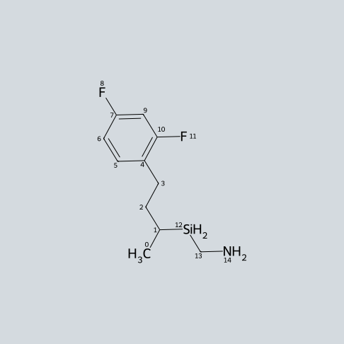 CC(CCc1ccc(F)cc1F)[SiH2]CN